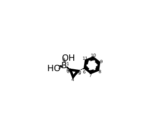 OB(O)[C@@H]1C[C@H]1c1ccccc1